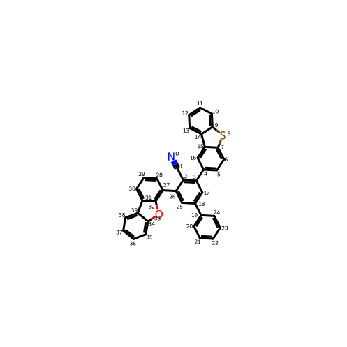 N#Cc1c(-c2ccc3sc4ccccc4c3c2)cc(-c2ccccc2)cc1-c1cccc2c1oc1ccccc12